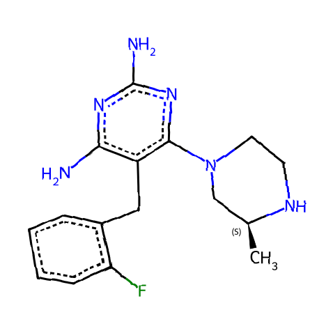 C[C@H]1CN(c2nc(N)nc(N)c2Cc2ccccc2F)CCN1